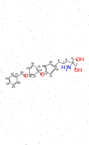 NC(CO)(CO)CCCc1ccc(Oc2cccc(OCc3ccccc3)c2)cc1